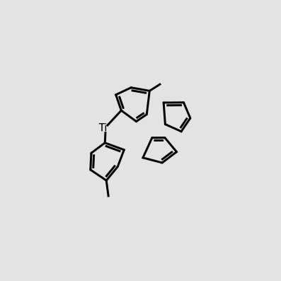 C1=CCC=C1.C1=CCC=C1.Cc1cc[c]([Ti][c]2ccc(C)cc2)cc1